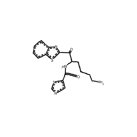 NCCCCC(NC(=O)c1cncs1)C(=O)c1nc2ccccc2s1